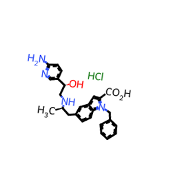 C[C@H](Cc1ccc2c(c1)cc(C(=O)O)n2Cc1ccccc1)NC[C@@H](O)c1ccc(N)nc1.Cl